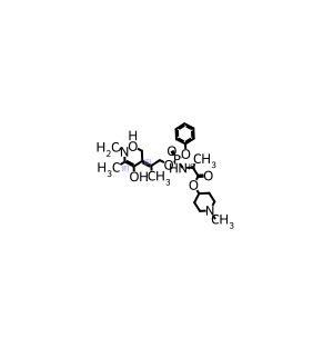 C=N/C(C)=C(O)\C(CO)=C(/C)COP(=O)(N[C@@H](C)C(=O)OC1CCN(C)CC1)Oc1ccccc1